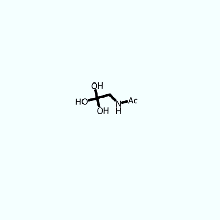 CC(=O)NCC(O)(O)O